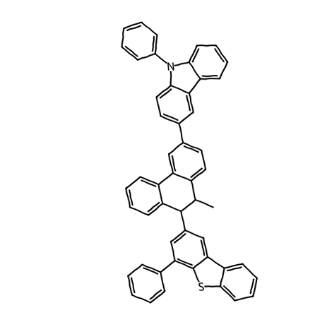 CC1c2ccc(-c3ccc4c(c3)c3ccccc3n4-c3ccccc3)cc2-c2ccccc2C1c1cc(-c2ccccc2)c2sc3ccccc3c2c1